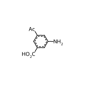 CC(=O)c1cc(N)cc(C(=O)O)c1